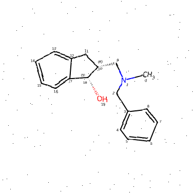 CN(Cc1ccccc1)C[C@H]1Cc2ccccc2[C@H]1O